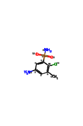 Cc1cc(N)cc(S(N)(=O)=O)c1Cl